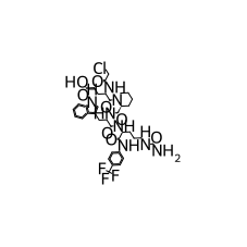 NC(=O)NCCCC(NC(=O)C(Cc1c[nH]c2ccccc12)NC(=O)[C@@H]1CCCCN1C(=O)C(CCC(=O)O)NC(=O)CCl)C(=O)Nc1ccc(C(F)(F)F)cc1